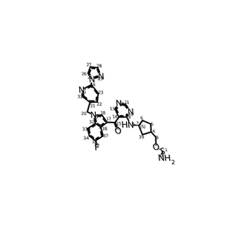 NSOCC1CC[C@H](Nc2ncncc2C(=O)c2cn(Cc3ccc(-n4cccn4)nc3)c3ccc(F)cc23)C1